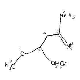 COC(O)CC(=N)N.Cl